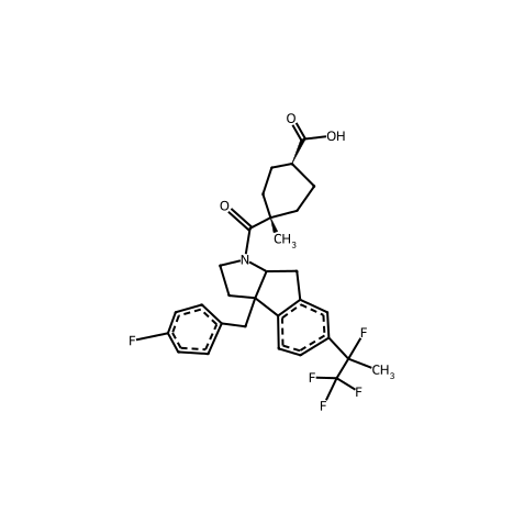 CC(F)(c1ccc2c(c1)CC1N(C(=O)[C@]3(C)CC[C@@H](C(=O)O)CC3)CCC21Cc1ccc(F)cc1)C(F)(F)F